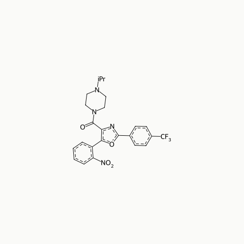 CC(C)N1CCN(C(=O)c2nc(-c3ccc(C(F)(F)F)cc3)oc2-c2ccccc2[N+](=O)[O-])CC1